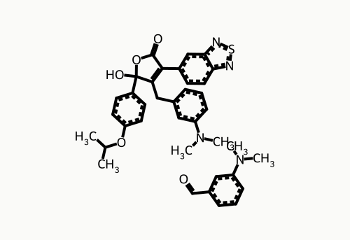 CC(C)Oc1ccc(C2(O)OC(=O)C(c3ccc4nsnc4c3)=C2Cc2cccc(N(C)C)c2)cc1.CN(C)c1cccc(C=O)c1